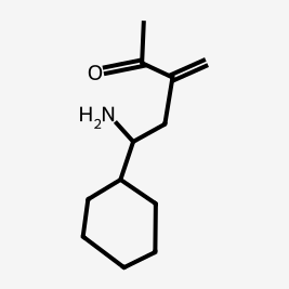 C=C(CC(N)C1CCCCC1)C(C)=O